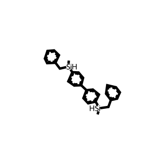 C[SiH](Cc1ccccc1)c1ccc(-c2ccc([SiH](C)Cc3ccccc3)cc2)cc1